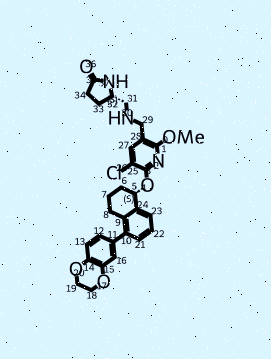 COc1nc(O[C@H]2CCCc3c(-c4ccc5c(c4)OCCO5)cccc32)c(Cl)cc1CNC[C@@H]1CCC(=O)N1